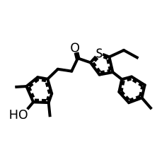 CCc1sc(C(=O)CCc2cc(C)c(O)c(C)c2)cc1-c1ccc(C)cc1